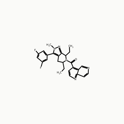 CCC1Cc2c(nn(C)c2-c2cc(F)cc(F)c2)C(CC)N1C(=O)c1ccnc2ccncc12